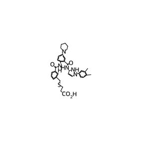 Cc1ccc(N2C=CC(NC(=O)c3cc(N4CCCCC4)ccc3NC(=O)c3cccc(CSCCC(=O)O)c3)N2)cc1C